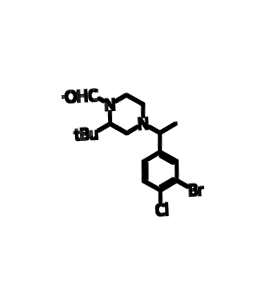 CC(c1ccc(Cl)c(Br)c1)N1CCN([C]=O)C(C(C)(C)C)C1